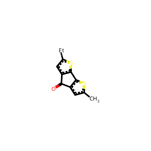 CCc1cc2c(s1)-c1sc(C)cc1C2=O